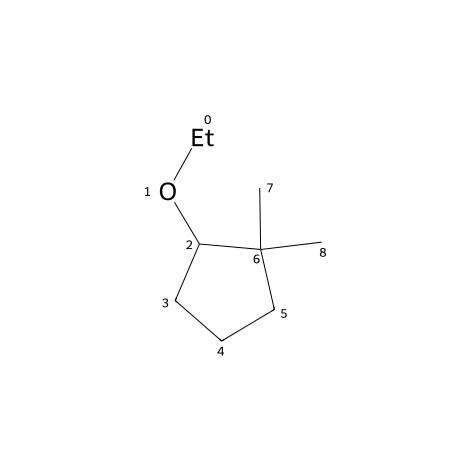 CCOC1CCCC1(C)C